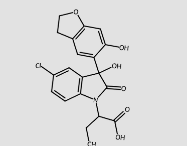 CCC(C(=O)O)N1C(=O)C(O)(c2cc3c(cc2O)OCC3)c2cc(Cl)ccc21